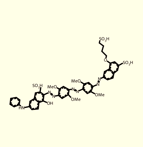 COc1cc(N=Nc2cc(OC)c(N=Nc3c(S(=O)(=O)O)cc4cc(Nc5ccccc5)ccc4c3O)cc2OC)c(OC)cc1N=Nc1ccc2cc(S(=O)(=O)O)cc(OCCCCS(=O)(=O)O)c2c1